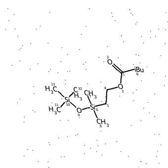 CCC(C)C(=O)OCC[Si](C)(C)O[Si](C)(C)C